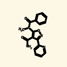 CN(C(=O)c1ccccc1)c1onc(-c2ccccn2)c1C(N)=O